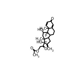 C=C1CC2C3CCC4=CC(=O)C=CC4(C)[C@@]3(F)C(O)CC2(C)[C@@]1(O)C(=O)COC(C)=O